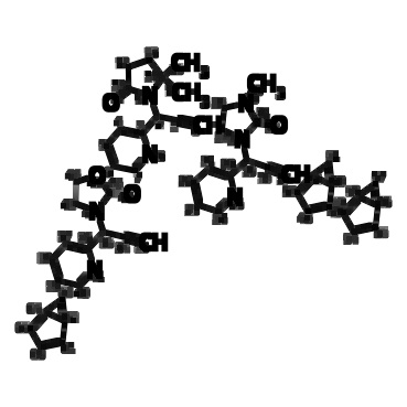 C#CC(c1ccccn1)N1C(=O)CCC1(C)C.C#CC(c1ccccn1)N1CCN(C)C1=O.C#CC(c1ccccn1)N1CCOC1=O.c1cc2cc-2c1.c1cc2cc-2c1.c1cc2cc-2c1